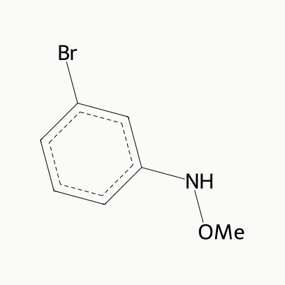 CONc1cccc(Br)c1